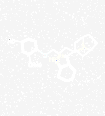 COc1cc(C(C)=O)ccc1OCCCCN1C2CCC1CC(c1n[nH]c3ccccc13)C2